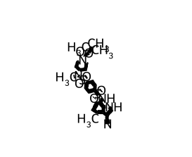 Cc1ccc(NS(=O)(=O)c2ccc(S(=O)(=O)N(C)C3CCN(C(=O)OC(C)(C)C)CC3)cc2)c2[nH]cc(C#N)c12